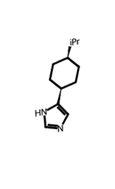 CC(C)[C@H]1CC[C@@H](c2cnc[nH]2)CC1